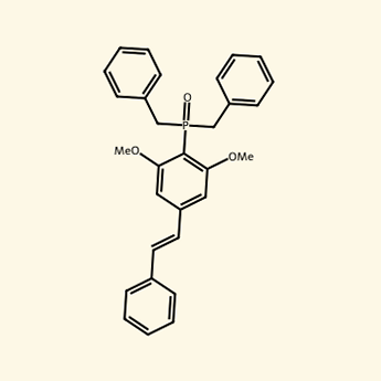 COc1cc(C=Cc2ccccc2)cc(OC)c1P(=O)(Cc1ccccc1)Cc1ccccc1